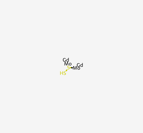 S[S][Mo].[Gd].[Gd].[Mo]